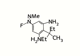 CCC(C)(CC)c1c(N)cc(N(F)NC)cc1N